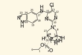 CCOC(=O)[C@H]1N[C@H]2CN(c3ncc(Cl)c(Nc4ccc5[nH]ncc5c4)n3)C[C@H]1[C@@H]2C